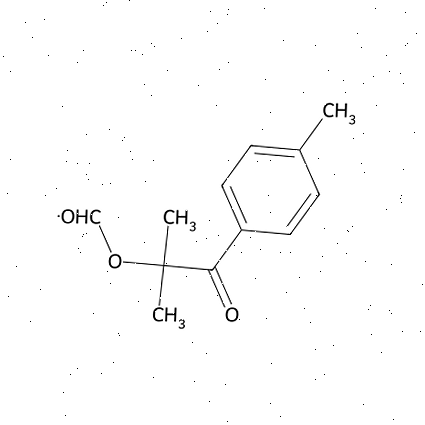 Cc1ccc(C(=O)C(C)(C)O[C]=O)cc1